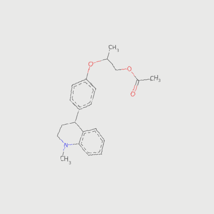 CC(=O)OCC(C)Oc1ccc(C2CCN(C)c3ccccc32)cc1